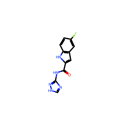 O=C(Nc1nc[nH]n1)c1cc2cc(F)ccc2[nH]1